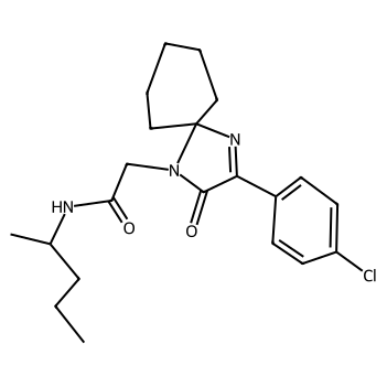 CCCC(C)NC(=O)CN1C(=O)C(c2ccc(Cl)cc2)=NC12CCCCC2